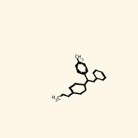 CCCC1CCC(C(CC2CC=CCC2)c2ccc(C)cc2)CC1